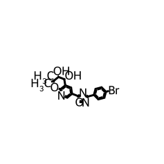 CC1(C)Oc2ncc(-c3nc(-c4ccc(Br)cc4)no3)cc2[C@H](O)[C@H]1O